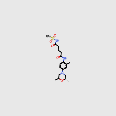 Cc1cc(N2CC(C)O[C@@H](C)C2)ccc1NC(=O)CCCC(=O)NS(=O)(=O)C(C)(C)C